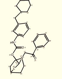 O=C(Nc1cccc(CC2CCCCC2)c1)OC1CC2CC[N+]1(CC(=O)c1ccccc1)CC2